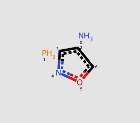 N.P.c1cnoc1